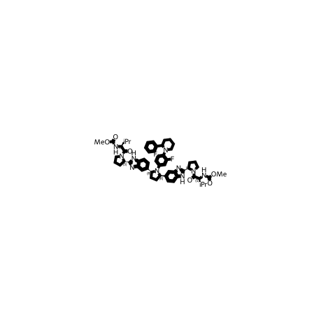 COC(=O)N[C@H](C(=O)N1CCC[C@H]1c1nc2cc([C@H]3CC[C@H](c4ccc5[nH]c([C@@H]6CCCN6C(=O)[C@@H](NC(=O)OC)C(C)C)nc5c4)N3c3cc(F)c(N4CCCCC4c4ccccc4)c(F)c3)ccc2[nH]1)C(C)C